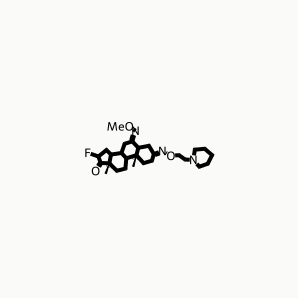 CON=C1CC2C(CC[C@]3(C)C(=O)C(F)CC23)[C@@]2(C)CCC(=NOCCN3CCCCC3)CC12